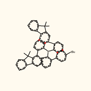 CC(C)(C)c1ccc(-c2ccccc2N(c2ccccc2-c2ccc3c(c2)C(C)(C)c2ccccc2-3)c2ccccc2-c2cccc3c2C(C)(C)c2ccccc2-3)cc1